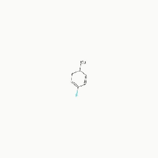 CC(C)(C)C1C=CC(F)=CC1